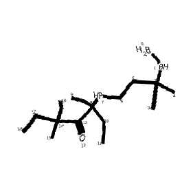 BBC(C)(C)CCPC(C)(CC)C(=O)C(C)(C)CC